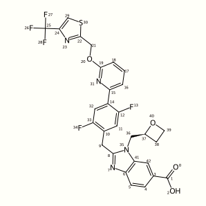 O=C(O)c1ccc2nc(Cc3cc(F)c(-c4cccc(OCc5nc(C(F)(F)F)cs5)n4)cc3F)n(C[C@@H]3CCO3)c2c1